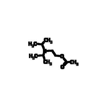 CC(=O)OCCN(C(C)C)C(C)C